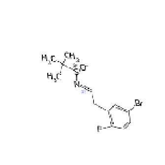 CC(C)(C)[S@+]([O-])/N=C/Cc1cc(Br)ccc1F